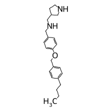 CCCCc1ccc(COc2ccc(CNCC3CCNC3)cc2)cc1